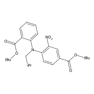 CC(C)CN(c1ccccc1C(=O)OC(C)(C)C)c1ccc(C(=O)OC(C)(C)C)cc1[N+](=O)[O-]